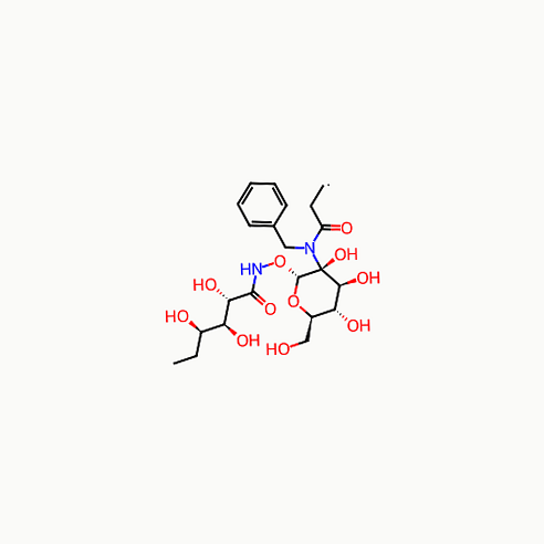 [CH2]CC(=O)N(Cc1ccccc1)[C@@]1(O)[C@@H](ONC(=O)[C@@H](O)[C@@H](O)[C@H](O)CC)O[C@H](CO)[C@@H](O)[C@@H]1O